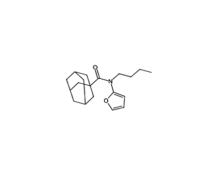 CCCCN(C(=O)C12CC3CC(CC(C3)C1)C2)c1ccco1